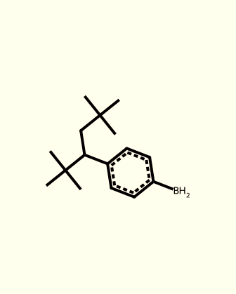 Bc1ccc(C(CC(C)(C)C)C(C)(C)C)cc1